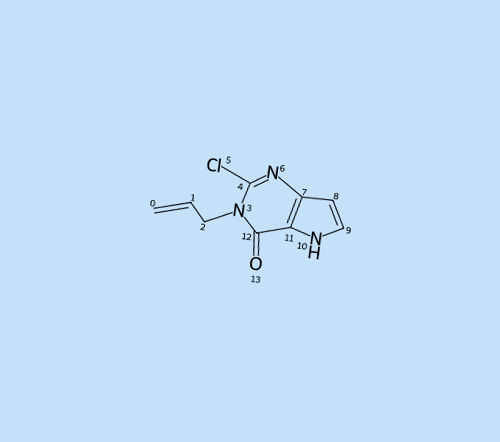 C=CCn1c(Cl)nc2cc[nH]c2c1=O